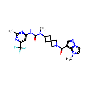 Cc1nc(NC(=O)N(C)C2CC3(C2)CN(C(=O)c2cnn4ccn(C)c24)C3)cc(C(F)(F)F)n1